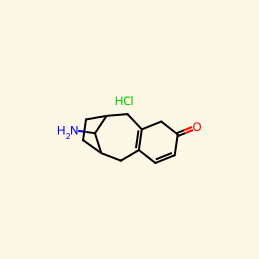 Cl.NC1C2CCC1CC1=C(C=CC(=O)C1)C2